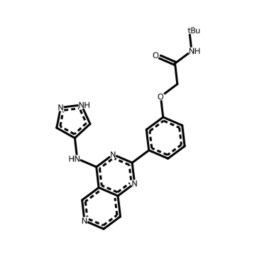 CC(C)(C)NC(=O)COc1cccc(-c2nc(Nc3cn[nH]c3)c3cnccc3n2)c1